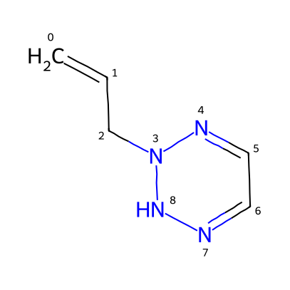 C=CCN1N=CC=NN1